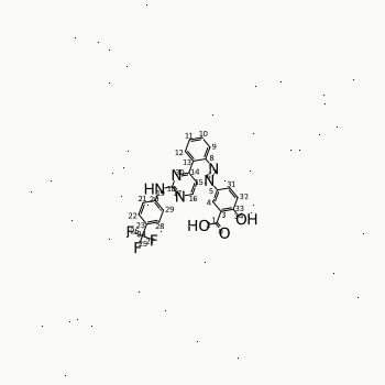 O=C(O)c1cc(N=Nc2ccccc2-c2ccnc(Nc3ccc(C(F)(F)F)cc3)n2)ccc1O